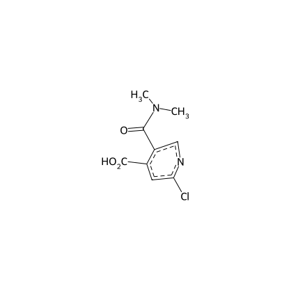 CN(C)C(=O)c1cnc(Cl)cc1C(=O)O